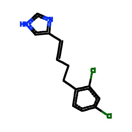 Clc1ccc(CCC=Cc2c[nH]cn2)c(Cl)c1